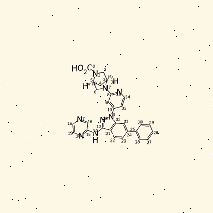 O=C(O)N1C[C@@H]2C[C@H]1CN2c1cc(-n2nc(Nc3cnccn3)c3ccc(-c4ccccc4)cc32)ccn1